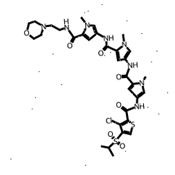 CC(C)S(=O)(=O)c1csc(C(=O)Nc2cc(C(=O)Nc3cc(C(=O)Nc4cc(C(=O)NCCN5CCOCC5)n(C)c4)n(C)c3)n(C)c2)c1Cl